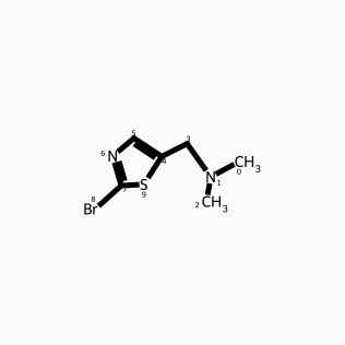 CN(C)Cc1cnc(Br)s1